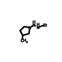 CCNNN1CCC(C)C1